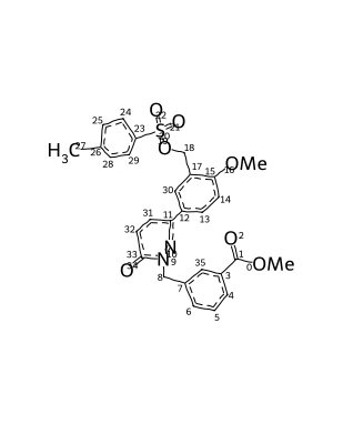 COC(=O)c1cccc(Cn2nc(-c3ccc(OC)c(COS(=O)(=O)c4ccc(C)cc4)c3)ccc2=O)c1